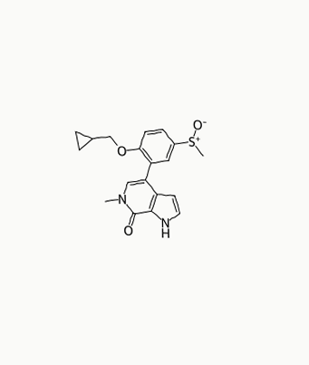 Cn1cc(-c2cc([S+](C)[O-])ccc2OCC2CC2)c2cc[nH]c2c1=O